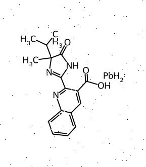 CC(C)C1(C)N=C(c2nc3ccccc3cc2C(=O)O)NC1=O.[PbH2]